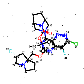 CC(C)(C)OC(=O)N1C2CCC1CN(c1nc(OC[C@@]34CCCN3C[C@H](F)C4)nc3c(F)c(Cl)nnc13)C2